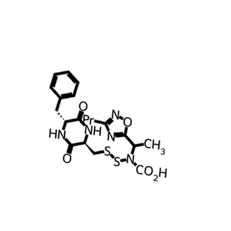 CC(C)c1noc(C(C)N(SSC[C@@H]2NC(=O)[C@@H](Cc3ccccc3)NC2=O)C(=O)O)n1